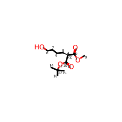 COC(=O)[C@H](CCCCO)C(=O)OC(C)(C)C